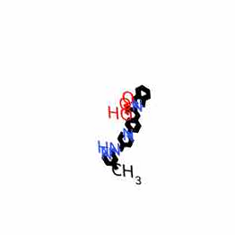 Cc1ccnc(NCC2CCN(c3ccc(CC(C(=O)O)N4Cc5ccccc5C4=O)cc3)CC2)c1